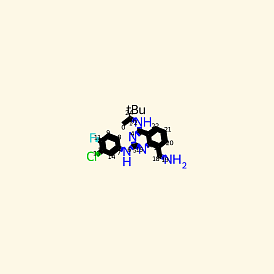 C[C@@H](Nc1nc(Nc2ccc(F)c(Cl)c2)nc2c(CN)cccc12)C(C)(C)C